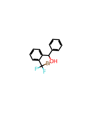 OC(c1ccccc1)c1ccccc1C(F)(F)Br